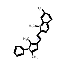 Cc1ccc2ccc(/C=C/c3cc(C)n(-c4ccccc4)c3C)[n+](C)c2c1